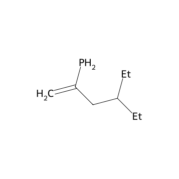 C=C(P)CC(CC)CC